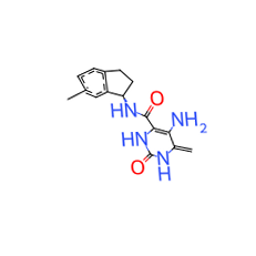 C=C1NC(=O)NC(C(=O)N[C@@H]2CCc3ccc(C)cc32)=C1N